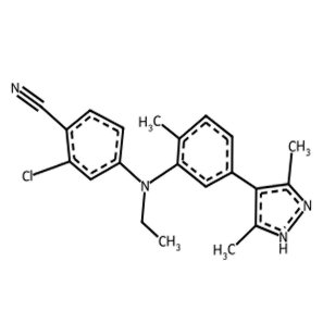 CCN(c1ccc(C#N)c(Cl)c1)c1cc(-c2c(C)n[nH]c2C)ccc1C